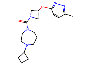 Cc1ccc(OC2CN(C(=O)N3CCCN(C4CCC4)CC3)C2)nn1